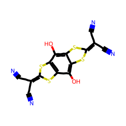 N#CC(C#N)=C1Sc2c(O)c3c(c(O)c2S1)SC(=C(C#N)C#N)S3